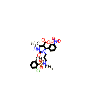 CC1=C(C(=O)O)C(c2cccc([N+](=O)[O-])c2)N(CCCN(C)S(=O)(=O)c2c(C)cccc2Cl)C(=O)N1